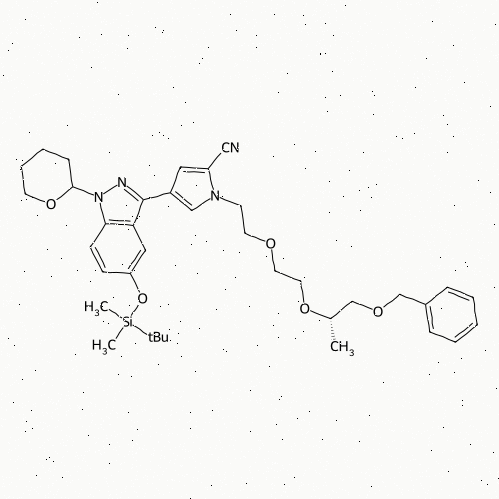 C[C@@H](COCc1ccccc1)OCCOCCn1cc(-c2nn(C3CCCCO3)c3ccc(O[Si](C)(C)C(C)(C)C)cc23)cc1C#N